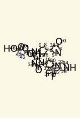 COc1cncc(-c2ccc3ncc4c(c3c2)n(-c2ccc(N3CCNCC3)c(C(F)(F)F)c2)c(=O)n4C)c1.O=C(O)/C=C\C(=O)O